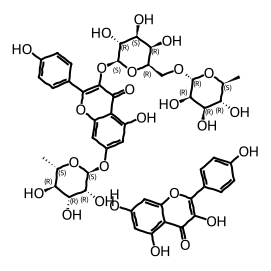 C[C@@H]1O[C@@H](OC[C@H]2O[C@@H](Oc3c(-c4ccc(O)cc4)oc4cc(O[C@@H]5O[C@@H](C)[C@H](O)[C@@H](O)[C@H]5O)cc(O)c4c3=O)[C@H](O)[C@@H](O)[C@H]2O)[C@H](O)[C@H](O)[C@H]1O.O=c1c(O)c(-c2ccc(O)cc2)oc2cc(O)cc(O)c12